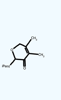 CCCC(C)C1OCC(C)=C(C)C1=O